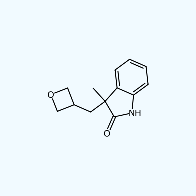 CC1(CC2COC2)C(=O)Nc2ccccc21